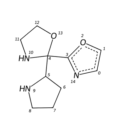 c1coc(C2(C3CCCN3)NCCO2)n1